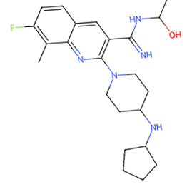 Cc1c(F)ccc2cc(C(=N)NC(C)O)c(N3CCC(NC4CCCC4)CC3)nc12